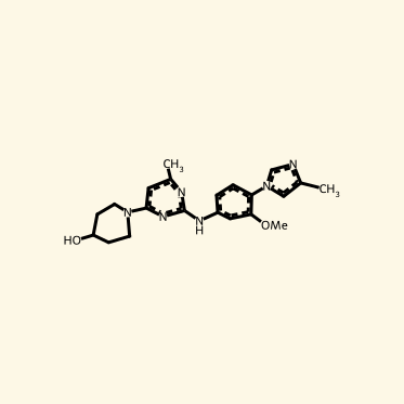 COc1cc(Nc2nc(C)cc(N3CCC(O)CC3)n2)ccc1-n1cnc(C)c1